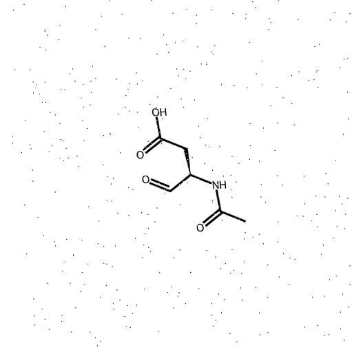 CC(=O)N[C@@H](C=O)CC(=O)O